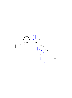 CCOC(=O)c1cc(-c2ccnc(-c3cccc(OC)c3)c2)nn1CCN